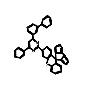 c1ccc(-c2cccc(-c3cc(-c4ccccc4)nc(-c4ccc5c(c4)Sc4ccccc4C54c5ccccc5-c5ccccc54)n3)c2)cc1